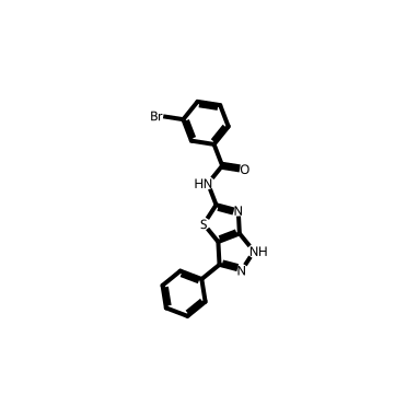 O=C(Nc1nc2[nH]nc(-c3ccccc3)c2s1)c1cccc(Br)c1